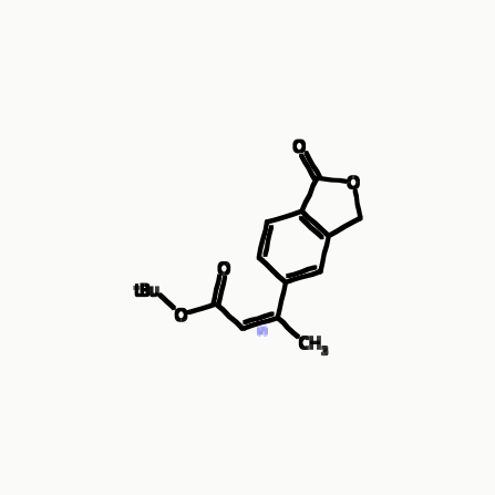 C/C(=C/C(=O)OC(C)(C)C)c1ccc2c(c1)COC2=O